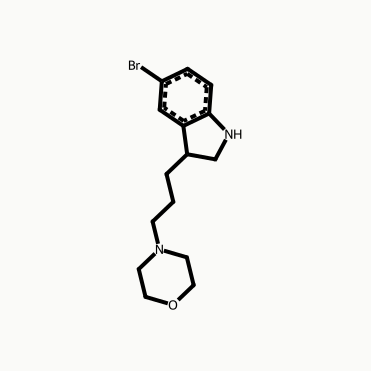 Brc1ccc2c(c1)C(CCCN1CCOCC1)CN2